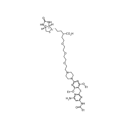 CCOc1nc(N2CCN(CCOCCOCCOCCC(CCC[C@@H]3SC[C@@H]4NC(=O)N[C@@H]43)C(=O)O)CC2)nc(OCC)c1Sc1nc(N)cc(NC(=O)CC)n1